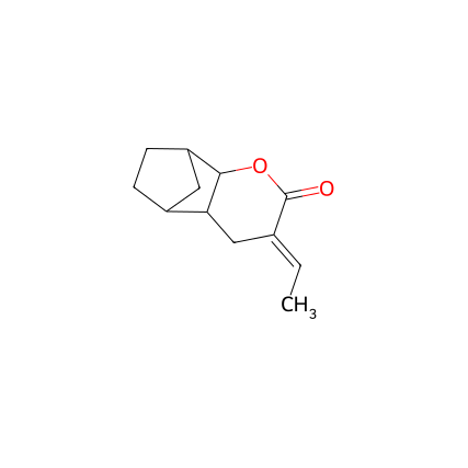 CC=C1CC2C3CCC(C3)C2OC1=O